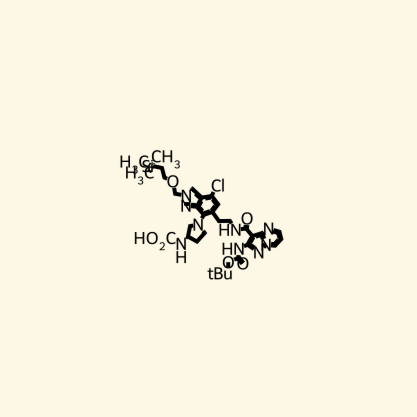 CC(C)(C)OC(=O)Nc1nn2cccnc2c1C(=O)NCCc1cc(Cl)c2cn(COCC[Si](C)(C)C)nc2c1N1CC[C@@H](NC(=O)O)C1